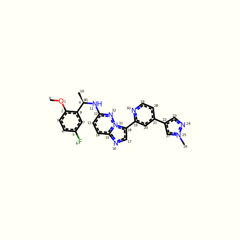 COc1ccc(F)cc1[C@@H](C)Nc1ccc2ncc(-c3cc(-c4cnn(C)c4)ccn3)n2n1